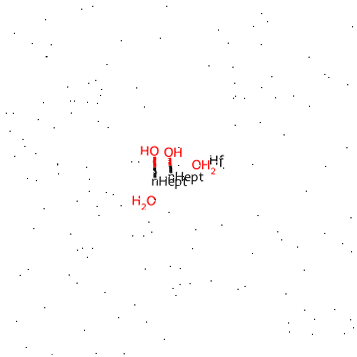 CCCCCCCO.CCCCCCCO.O.O.[Hf]